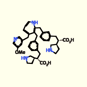 COc1cncc(CC2=CC=CNC(Cc3cccc(C[C@H](C(=O)O)[C@H]4CCNC4)c3)=C2Cc2cccc(C[C@H](C(=O)O)[C@H]3CCNC3)c2)c1